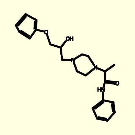 CC(C(=O)Nc1ccccc1)N1CCN(CC(O)COc2ccccc2)CC1